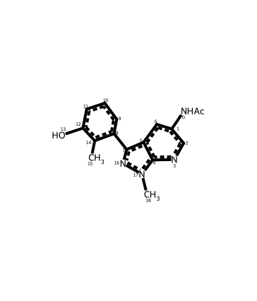 CC(=O)Nc1cnc2c(c1)c(-c1cccc(O)c1C)nn2C